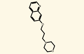 c1cnc2cc(OCCCN3CCOCC3)ccc2c1